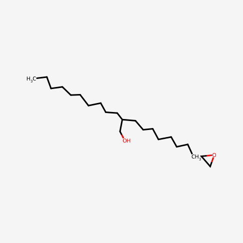 C1CO1.CCCCCCCCCCC(CO)CCCCCCCC